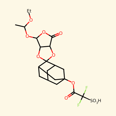 CCOC(C)OC1OC(=O)C2OC3(OC12)C1CC2CC3CC(OC(=O)C(F)(F)S(=O)(=O)O)(C2)C1